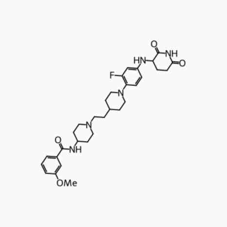 COc1cccc(C(=O)NC2CCN(CCC3CCN(c4ccc(NC5CCC(=O)NC5=O)cc4F)CC3)CC2)c1